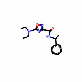 CCN(CC)c1nc(C(=O)NC(C)c2ccccc2)no1